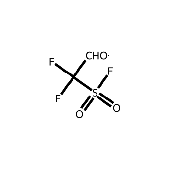 O=[C]C(F)(F)S(=O)(=O)F